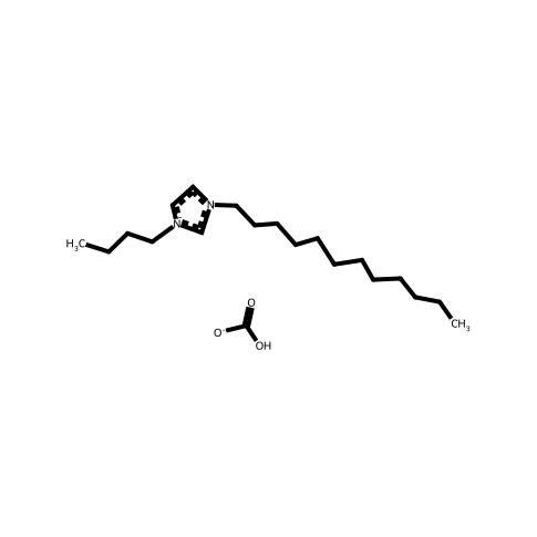 CCCCCCCCCCCCn1cc[n+](CCCC)c1.O=C([O-])O